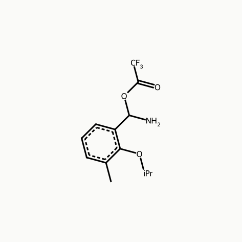 Cc1cccc(C(N)OC(=O)C(F)(F)F)c1OC(C)C